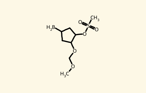 BC1CC(OCOC)C(OS(C)(=O)=O)C1